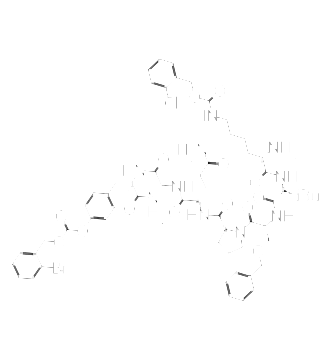 CC[C@H](C)[C@H](NC(=O)[C@@H](N)CCCCNC(=O)OCc1ccccc1Cl)C(=O)N[C@@H](COCc1ccccc1)C(=O)N1CCC[C@H]1C(=O)N[C@@H](CCC(N)=O)C(=O)NCC(=O)N[C@@H](Cc1ccc(OC(=O)OCc2ccccc2Br)cc1)C(N)=O